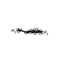 C=CC(=O)OCCCCCCOc1ccc(C(=O)Oc2ccc(OC(=O)c3ccc(OC(=O)C=C)cc3)c(C)c2)cc1